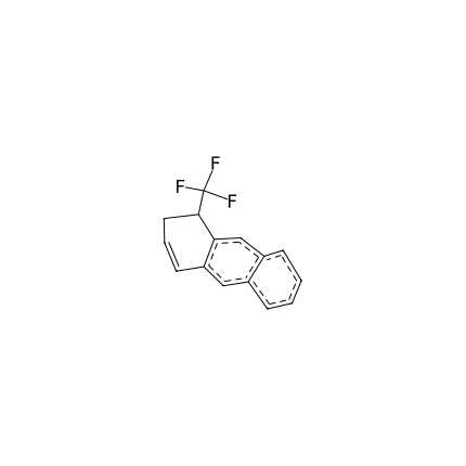 FC(F)(F)C1CC=Cc2cc3ccccc3cc21